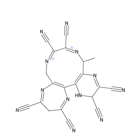 CC1/N=C(C#N)\C(C#N)=N/CC2=C(N=C(C#N)CC(C#N)=N2)C2=C1N=C(C#N)C(C#N)N2